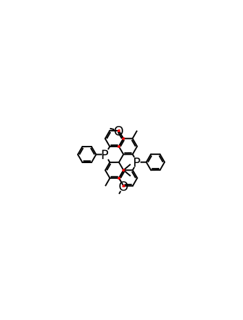 COC1=C(C)C=C(P(c2ccccc2)c2ccccc2)C(c2cc(OC)c(C)cc2P(c2ccccc2)c2ccccc2)C1(C)C